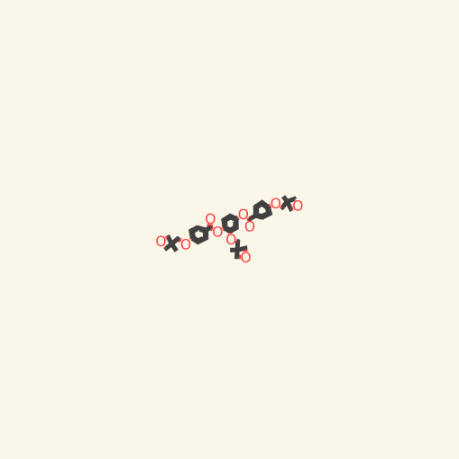 CC1(COc2ccc(C(=O)Oc3ccc(OC(=O)c4ccc(OCC5(C)COC5)cc4)c(OCC4(C)COC4)c3)cc2)COC1